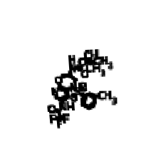 Cc1cccc(S(=O)(=O)N2CC(NC(=O)OC(C)(C)C)COc3ncc(NC(=O)C(F)(F)F)cc32)c1